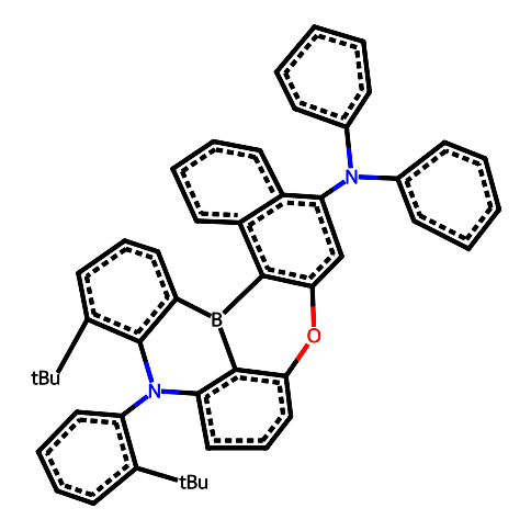 CC(C)(C)c1ccccc1N1c2cccc3c2B(c2cccc(C(C)(C)C)c21)c1c(cc(N(c2ccccc2)c2ccccc2)c2ccccc12)O3